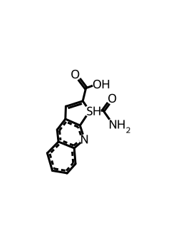 NC(=O)[SH]1C(C(=O)O)=Cc2cc3ccccc3nc21